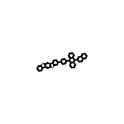 c1ccc2cc(-c3c4ccccc4c(-c4ccc(-c5ccc6c(c5)oc5cc7c(cc56)sc5ccccc57)cc4)c4ccccc34)ccc2c1